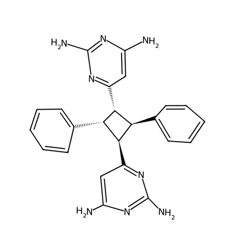 Nc1cc([C@H]2[C@H](c3ccccc3)[C@H](c3cc(N)nc(N)n3)[C@H]2c2ccccc2)nc(N)n1